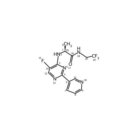 C[C@H](Nc1nc(-c2cccnc2)ncc1F)C(=O)NCC(F)(F)F